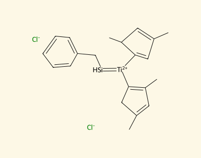 CC1=CC(C)[C](/[Ti+2](=[SiH]\Cc2ccccc2)[C]2=C(C)C=C(C)C2)=C1.[Cl-].[Cl-]